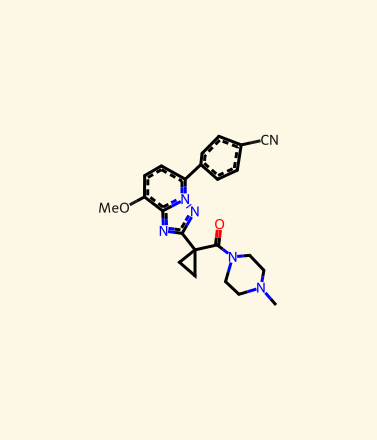 COc1ccc(-c2ccc(C#N)cc2)n2nc(C3(C(=O)N4CCN(C)CC4)CC3)nc12